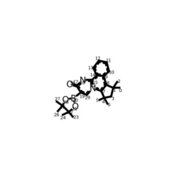 CC1(C)CC(C)(C)c2c1c1ccccc1c1nc(=O)c(B3OC(C)(C)C(C)(C)O3)cn21